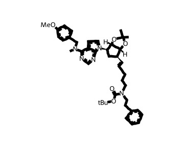 COc1ccc(CN(C)c2ncnc3c2ccn3[C@@H]2C[C@H](C=CCCCN(CCc3ccccc3)C(=O)OC(C)(C)C)[C@H]3OC(C)(C)O[C@H]32)cc1